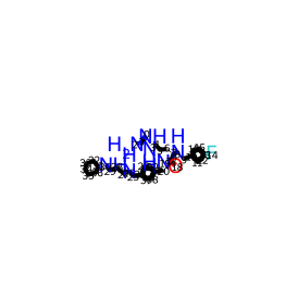 N=C(N)NCCC[C@H](NCc1ccc(F)cc1)C(=O)NCc1ccc(CNCCCNC2CCCCC2)cc1